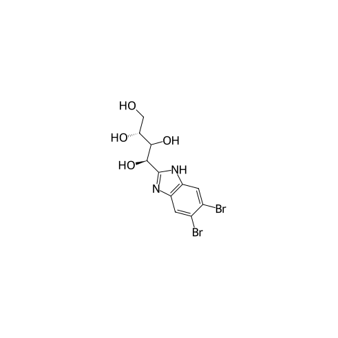 OC[C@@H](O)C(O)[C@H](O)c1nc2cc(Br)c(Br)cc2[nH]1